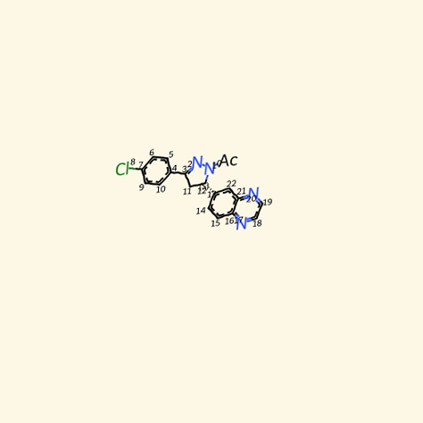 CC(=O)N1N=C(c2ccc(Cl)cc2)C[C@H]1c1ccc2nccnc2c1